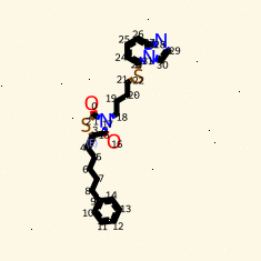 O=C1S/C(=C/CCCCc2ccccc2)C(=O)N1CCCCSc1cccc2nccn12